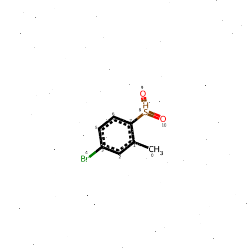 Cc1cc(Br)ccc1[SH](=O)=O